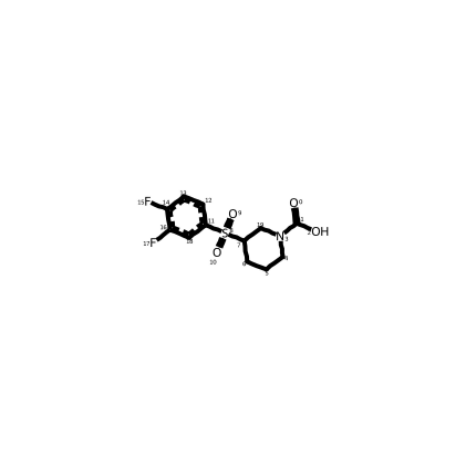 O=C(O)N1CCCC(S(=O)(=O)c2ccc(F)c(F)c2)C1